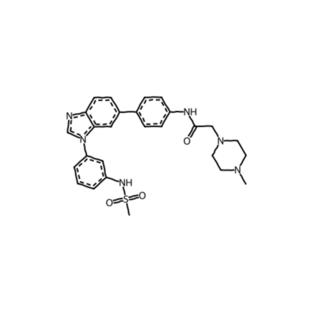 CN1CCN(CC(=O)Nc2ccc(-c3ccc4ncn(-c5cccc(NS(C)(=O)=O)c5)c4c3)cc2)CC1